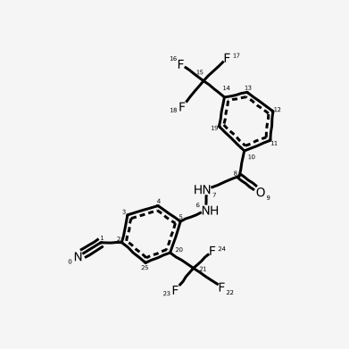 N#Cc1ccc(NNC(=O)c2cccc(C(F)(F)F)c2)c(C(F)(F)F)c1